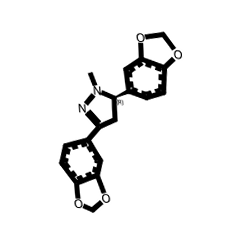 CN1N=C(c2ccc3c(c2)OCO3)C[C@@H]1c1ccc2c(c1)OCO2